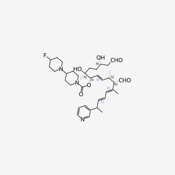 C/C(=C\C=C\C(C)c1cccnc1)[C@@H](C=O)[C@@H](C)/C=C/[C@H](OC(=O)N1CCC(N2CCC(F)CC2)CC1)[C@@](C)(O)CC[C@H](O)CC=O